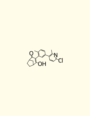 Cc1ccc(-c2ccc(Cl)nc2C)cc1C1=C(O)C2CCC(C2)C1=O